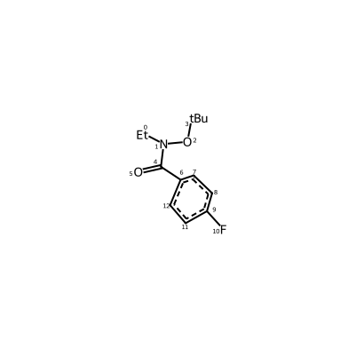 CCN(OC(C)(C)C)C(=O)c1[c]cc(F)cc1